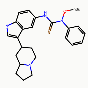 CCCCON(C(=S)Nc1ccc2[nH]cc(C3CCN4CCCC4C3)c2c1)c1ccccc1